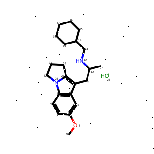 COc1ccc2c(c1)c(CC(C)NCC1CCCCC1)c1n2CCC1.Cl